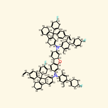 C=Cc1ccc(C2(C3=CCC(F)C=C3)C3=C(CCC(N(C4=CC5Oc6cc(N(C7=CC8C(C=C7)C7=C(CCC=C7)C8(c7ccc(C=C)cc7)C7C=CC(F)=CC7)c7cc(C)c(C8=CCC(F)CC8)cc7C)ccc6C5C=C4)C4=CC(C)C(C5=CCC(F)C=C5)C=C4C)=C3)C3=C2CCC=C3)cc1